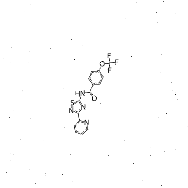 O=C(Nc1nc(-c2ccccn2)ns1)c1ccc(OC(F)(F)F)cc1